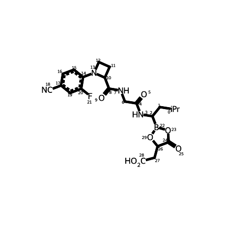 CC(C)CC(NC(=O)CNC(=O)C1CCN1c1ccc(C#N)cc1F)B1OC(=O)C(CC(=O)O)O1